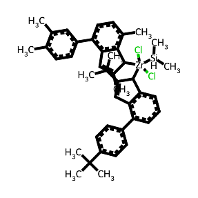 CC1=Cc2c(-c3ccc(C)c(C)c3)ccc(C)c2[CH]1[Zr]([Cl])([Cl])([CH]1C(C(C)C)=Cc2c(-c3ccc(C(C)(C)C)cc3)cccc21)[SiH](C)C